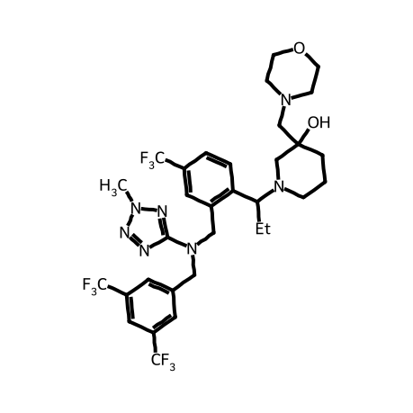 CCC(c1ccc(C(F)(F)F)cc1CN(Cc1cc(C(F)(F)F)cc(C(F)(F)F)c1)c1nnn(C)n1)N1CCCC(O)(CN2CCOCC2)C1